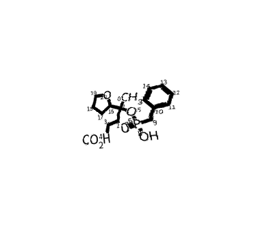 CC(CCC(=O)O)(OP(=O)(O)Cc1ccccc1)C1CCCO1